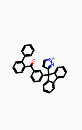 O=C(c1cccc(C2(c3cc[nH]n3)c3ccccc3-c3ccccc32)c1)c1ccccc1-c1ccccc1